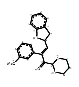 COc1cccc(/C(=C\C2Cc3ccccc3O2)C(=O)C2SCCCS2)c1